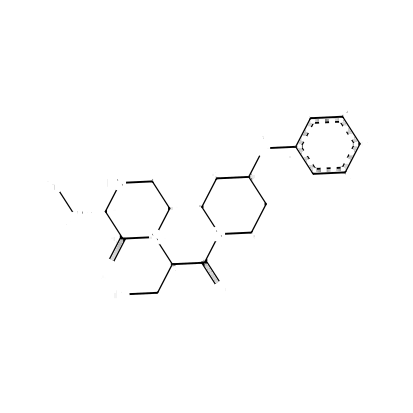 CC(C)CC(C(=O)N1CCC(Oc2ccccc2)CC1)N1CCN[C@@H](CC(C)C)C1=O